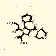 NCC(=O)N1C(C(=O)O)CC(C(=O)N2CCOCC2)C1c1ccccc1F